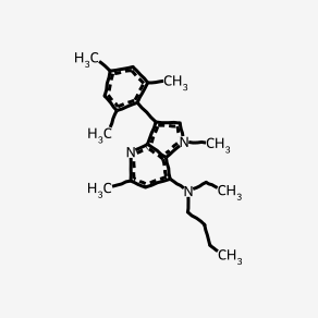 CCCCN(CC)c1cc(C)nc2c(-c3c(C)cc(C)cc3C)cn(C)c12